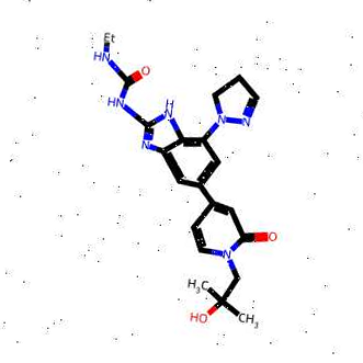 CCNC(=O)Nc1nc2cc(-c3ccn(CC(C)(C)O)c(=O)c3)cc(N3CCC=N3)c2[nH]1